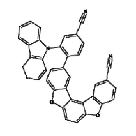 N#Cc1ccc(-c2ccc3oc4ccc5oc6ccc(C#N)cc6c5c4c3c2)c(-n2c3c(c4ccccc42)CCC=C3)c1